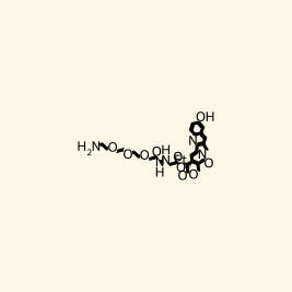 CC[C@@]1(OC(=O)CNNC(=O)COCCOCCOCCN)C(=O)OCc2c1cc1n(c2=O)Cc2cc3cc(O)ccc3nc2-1